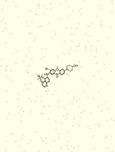 COc1cc(N2CCC(O)CC2)ccc1Nc1ncc(Br)c(Nc2ccc3nccnc3c2N(C)S(C)(=O)=O)n1